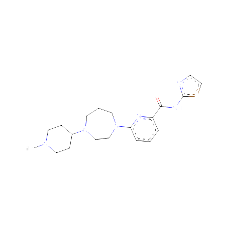 CC(C)N1CCC(N2CCCN(c3cccc(C(=O)Nc4nccs4)n3)CC2)CC1